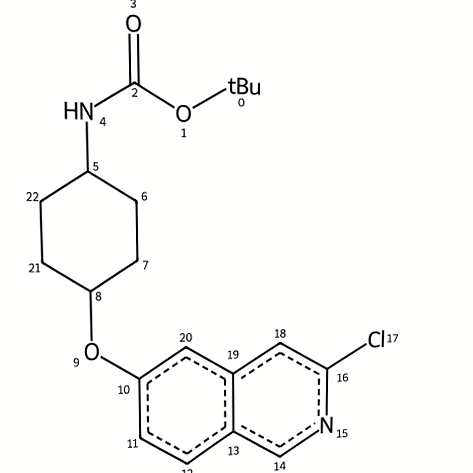 CC(C)(C)OC(=O)NC1CCC(Oc2ccc3cnc(Cl)cc3c2)CC1